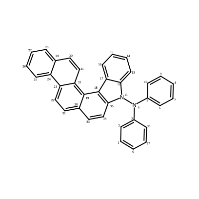 c1ccc(N(c2ccccc2)n2c3ccccc3c3c4c(ccc5c6ccccc6ccc54)ccc32)cc1